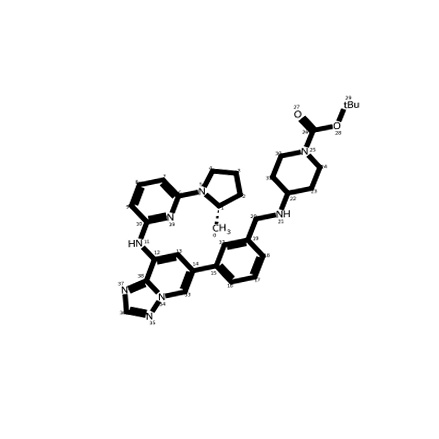 C[C@H]1CCCN1c1cccc(Nc2cc(-c3cccc(CNC4CCN(C(=O)OC(C)(C)C)CC4)c3)cn3ncnc23)n1